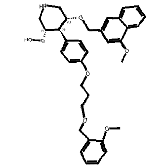 COc1ccccc1COCCCOc1ccc([C@@H]2[C@@H](OCc3cc(OC)c4ccccc4c3)CNC[C@H]2OO)cc1